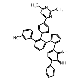 Cc1nc(C)nc(-c2ccc(-c3c(-c4cccc(C#N)c4)cccc3-c3ccccc3C3=CC=C(c4ccccc4)C(=N)C3=N)cc2)n1